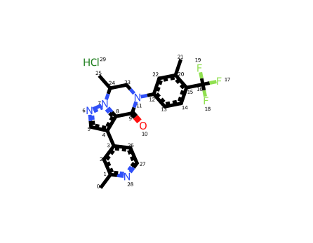 Cc1cc(-c2cnn3c2C(=O)N(c2ccc(C(F)(F)F)c(C)c2)CC3C)ccn1.Cl